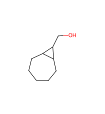 OCC1C2CCCCCC12